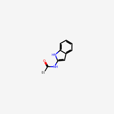 CCC(=O)Nc1cc2ccccc2[nH]1